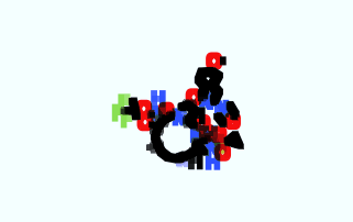 COc1ccc2c(O[C@@H]3C[C@H]4C(=O)N[C@]5(C(=O)NS(=O)(=O)C6CC6)C[C@H]5/C=C\CC[C@H](C)C[C@@H](C)[C@H](NC(=O)OC(C)(C)C(F)(F)F)C(=O)N4C3)nc(N3CCOCC3)cc2c1